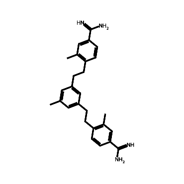 Cc1cc(CCc2ccc(C(=N)N)cc2C)cc(CCc2ccc(C(=N)N)cc2C)c1